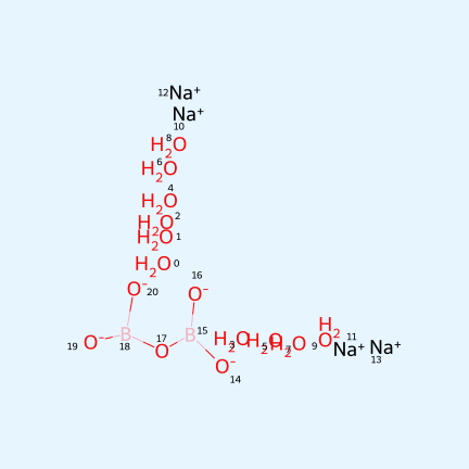 O.O.O.O.O.O.O.O.O.O.[Na+].[Na+].[Na+].[Na+].[O-]B([O-])OB([O-])[O-]